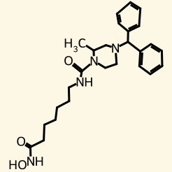 CC1CN(C(c2ccccc2)c2ccccc2)CCN1C(=O)NCCCCCCC(=O)NO